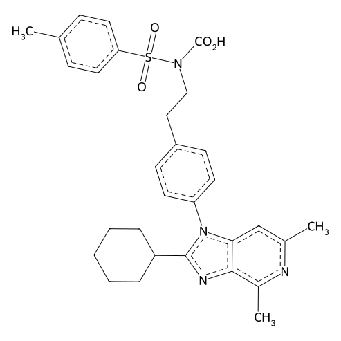 Cc1ccc(S(=O)(=O)N(CCc2ccc(-n3c(C4CCCCC4)nc4c(C)nc(C)cc43)cc2)C(=O)O)cc1